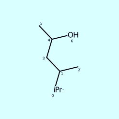 C[C](C)C(C)CC(C)O